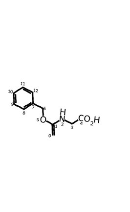 C=C(NCC(=O)O)OCc1ccccc1